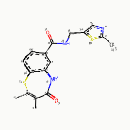 CC1=C(C)C(=O)Nc2cc(C(=O)NCc3cnc(C(F)(F)F)s3)ccc2S1